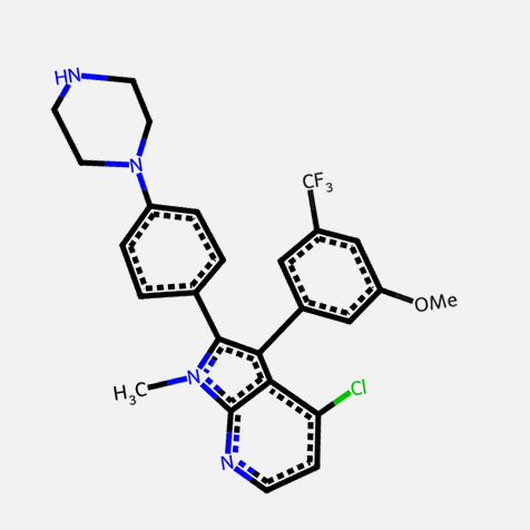 COc1cc(-c2c(-c3ccc(N4CCNCC4)cc3)n(C)c3nccc(Cl)c23)cc(C(F)(F)F)c1